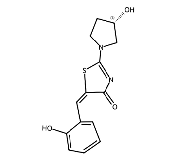 O=C1N=C(N2CC[C@H](O)C2)SC1=Cc1ccccc1O